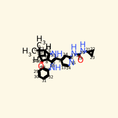 CC1(C)[C@@H]2C[C@H]1C(=O)c1c2[nH]c(-c2ccnc(NC(=O)NC3CC3)c2)c1Nc1ccccc1